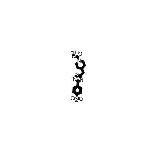 CC(C)(C)OC(=O)N1CCC(Cc2nc(-c3ccc(S(C)(=O)=O)cc3)no2)CC1